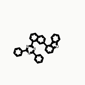 c1ccc(-c2nc(-c3ccccc3)nc(-c3cccc4ccc(-c5cccc6oc7ccccc7c56)cc34)n2)cc1